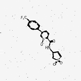 O=C(NC1C=CS(=O)(=O)C1)c1ccc(-c2ccc(C(F)(F)F)cc2)c[n+]1[O-]